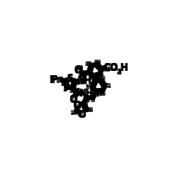 CC(C)c1cc(C(=O)NC(Cc2ccccc2)C2=COCO2)c(NC(=O)c2ccc(C(=O)O)cc2)s1